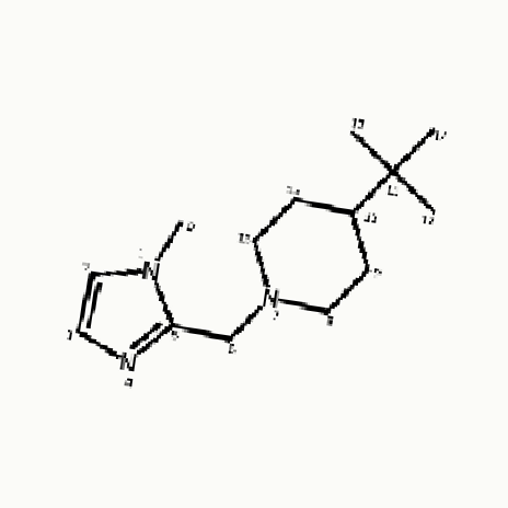 Cn1ccnc1CN1CCC(C(C)(C)C)CC1